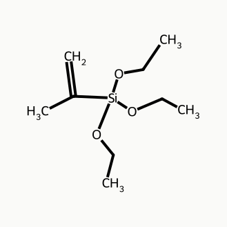 C=C(C)[Si](OCC)(OCC)OCC